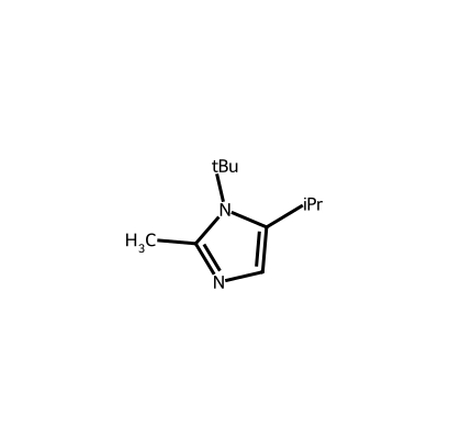 Cc1ncc(C(C)C)n1C(C)(C)C